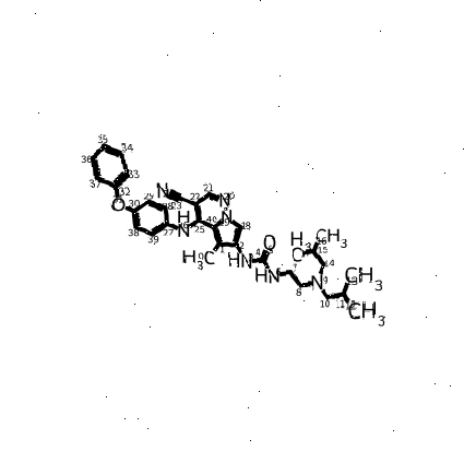 Cc1c(NC(=O)NCCN(CC(C)C)CC(C)C)cn2ncc(C#N)c(Nc3ccc(Oc4ccccc4)cc3)c12